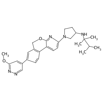 COc1cc(-c2ccc3c(c2)COc2nc(N4CCC(NC(C)(C)C(C)C)C4)ccc2-3)cnn1